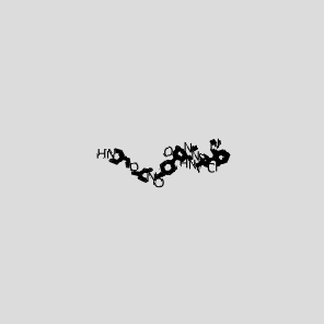 COc1cc2nc(C)nc(N[C@H](C)c3cc(-c4c(Cl)cccc4CN(C)C)cs3)c2cc1C1CCC(C(=O)N2CCC(COCCC3CCNCC3)CC2)CC1